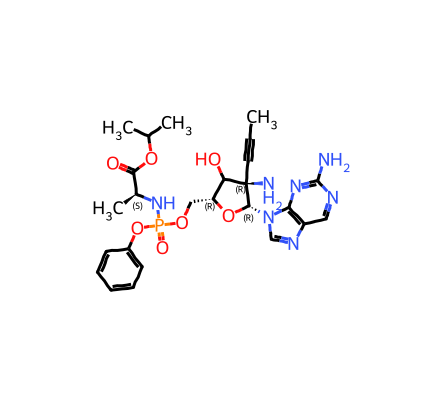 CC#C[C@@]1(N)C(O)[C@@H](COP(=O)(N[C@@H](C)C(=O)OC(C)C)Oc2ccccc2)O[C@H]1n1cnc2cnc(N)nc21